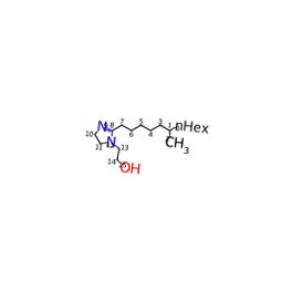 CCCCCCC(C)CCCCCC1=NCCN1CCO